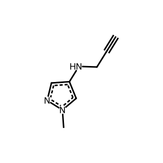 C#CCNc1cnn(C)c1